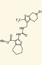 CCN1CCc2c(sc(C(F)(F)F)c2CNC(=O)Nc2sc3c(c2C(=O)OC(C)(C)C)CCCCC3)C1